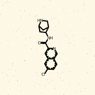 O=C(NC1CC2CC1CN2)c1cc2cc(Cl)ccc2cn1